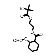 CCC(C)(C)C(=O)OCCOC(=O)C1CCCCC1OC=O